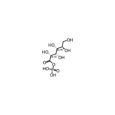 O=C(OP(=O)(O)O)[C@H](O)[C@@H](O)[C@H](O)[C@H](O)CO